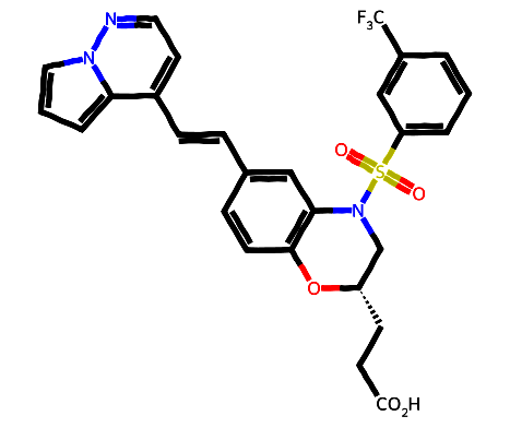 O=C(O)CC[C@H]1CN(S(=O)(=O)c2cccc(C(F)(F)F)c2)c2cc(/C=C/c3ccnn4cccc34)ccc2O1